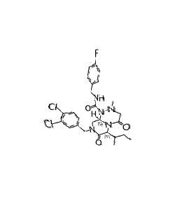 CCC(C)[C@H]1C(=O)N(Cc2ccc(Cl)c(Cl)c2)C[C@H]2N1C(=O)CN(C)N2C(=O)NCc1ccc(F)cc1